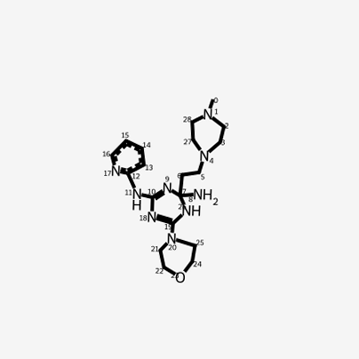 CN1CCN(CCC2(N)N=C(Nc3ccccn3)N=C(N3CCOCC3)N2)CC1